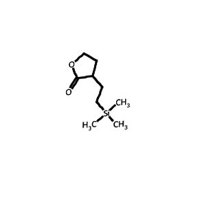 C[Si](C)(C)CCC1CCOC1=O